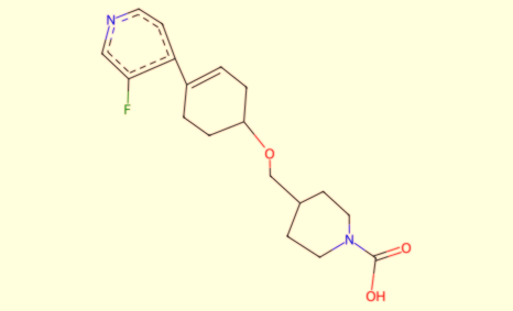 O=C(O)N1CCC(COC2CC=C(c3ccncc3F)CC2)CC1